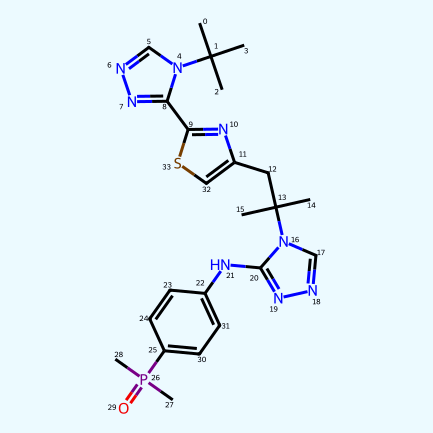 CC(C)(C)n1cnnc1-c1nc(CC(C)(C)n2cnnc2Nc2ccc(P(C)(C)=O)cc2)cs1